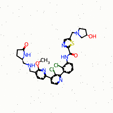 COc1nc(-c2ccnc(-c3cccc(NC(=O)c4ncc(CN5CC[C@H](O)C5)s4)c3Cl)c2Cl)ccc1CNC[C@H]1CCC(=O)N1